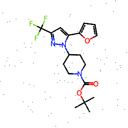 CC(C)(C)OC(=O)N1CCC(n2nc(C(F)(F)F)cc2-c2ccco2)CC1